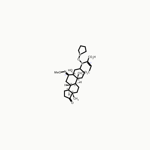 CO/N=C1\C[C@H]2[C@@H]3CCC(=O)[C@@]3(C)CC[C@@H]2[C@@]2(C)CCC(N(ON3CCCC3)/C(=C\C(=O)O)C(=O)O)C[C@]12O